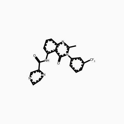 Cc1nc2cccc(NC(=O)c3cnccn3)c2c(=O)n1-c1cccc(C(F)(F)F)c1